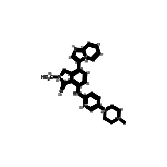 CN1CCN(c2ccc(Nc3ccc(-c4cnc5ccccn45)c4c3C(=O)N(C(=O)O)C4)nc2)CC1